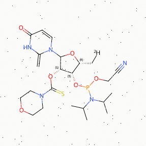 [2H]C[C@H]1OC(N2C=CC(=O)NC2=C)[C@@H](OC(=S)N2CCOCC2)[C@H]1OP(OCC#N)N(C(C)C)C(C)C